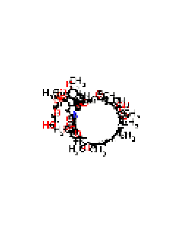 COC1CC(CC2[C@H]3CCCN4C(=O)C(=O)C5(O)O[C@@H](CCC5C)C[C@H](OC)/C(C)=C/C=C/C=C/[C@@H](C)CC(C)C(=O)[C@H](OC)C(O)/C(C)=C/C(C)C(=O)C[C@@H]2OC(=O)C34)CC[C@H]1OP(C)(=O)OCCOCCO